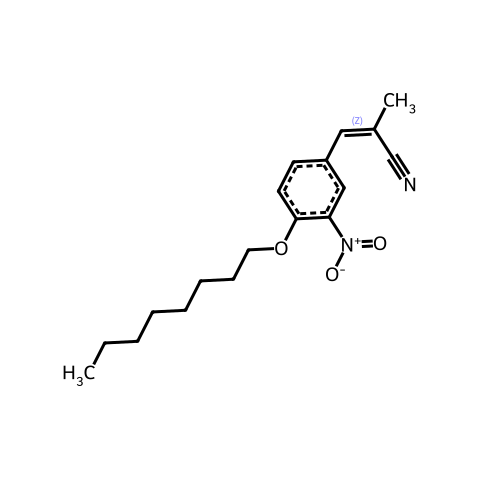 CCCCCCCCOc1ccc(/C=C(/C)C#N)cc1[N+](=O)[O-]